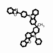 CC1(c2ccc3c(c2)c2ccccc2n3-c2ccc(-c3nc4ccccc4o3)cc2)C=Cc2c(c3ccc4c5ccccc5oc4c3n2-c2ccccc2)C1